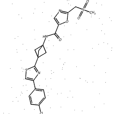 CS(=O)(=O)Cc1ncc(C(=O)NC23CC(c4nc(-c5ccc(Cl)cc5)cs4)(C2)C3)o1